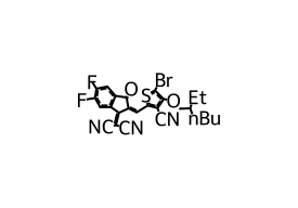 CCCCC(CC)COc1c(Br)sc(/C=C2\C(=O)c3cc(F)c(F)cc3C2=C(C#N)C#N)c1C#N